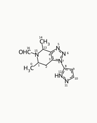 CC1Cc2c(nnn2-c2ccn[nH]2)C(C)N1C=O